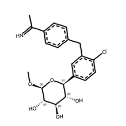 CO[C@H]1O[C@@H](c2ccc(Cl)c(Cc3ccc(C(C)=N)cc3)c2)[C@H](O)[C@@H](O)[C@@H]1O